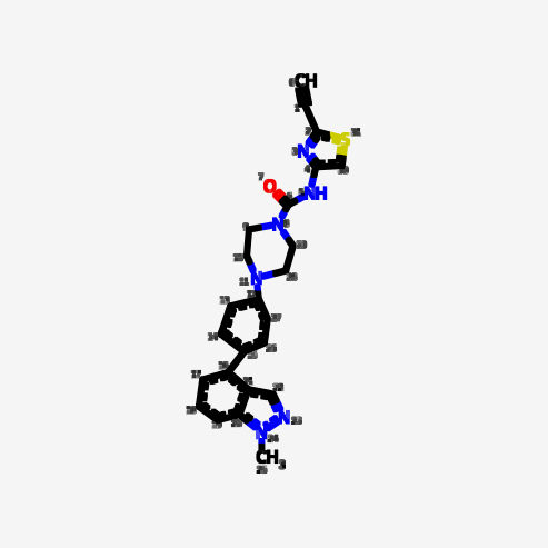 C#Cc1nc(NC(=O)N2CCN(c3ccc(-c4cccc5c4cnn5C)cc3)CC2)cs1